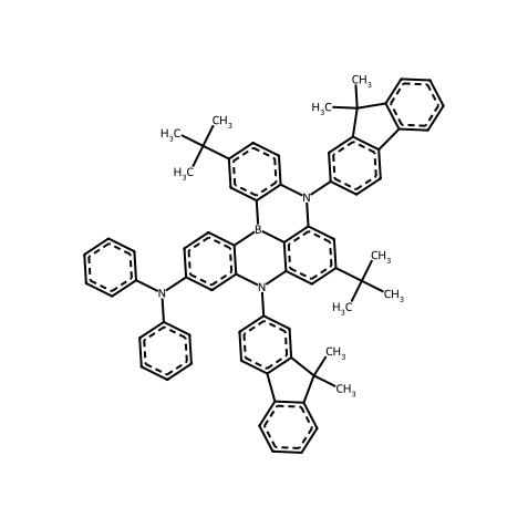 CC(C)(C)c1ccc2c(c1)B1c3ccc(N(c4ccccc4)c4ccccc4)cc3N(c3ccc4c(c3)C(C)(C)c3ccccc3-4)c3cc(C(C)(C)C)cc(c31)N2c1ccc2c(c1)C(C)(C)c1ccccc1-2